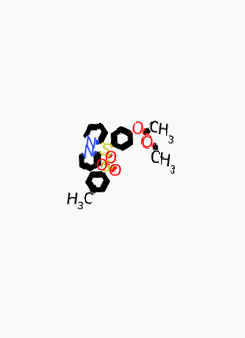 CCOC(C)Oc1ccc(S(OS(=O)(=O)c2ccc(C)cc2)(c2ccccn2)c2ccccn2)cc1